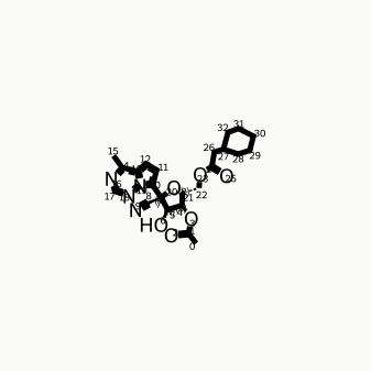 CC(=O)O[C@H]1[C@@H](O)[C@](C#N)(c2ccc3c(C)ncnn23)O[C@@H]1COC(=O)CC1CCCCC1